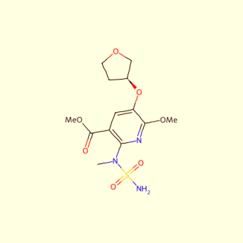 COC(=O)c1cc(O[C@H]2CCOC2)c(OC)nc1N(C)S(N)(=O)=O